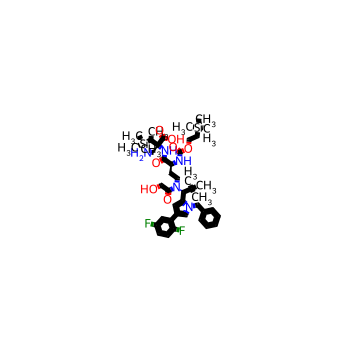 CC([C@@](CN)(NC(=O)[C@H](CCN(C(=O)CO)[C@@H](c1cc(-c2cc(F)ccc2F)cn1Cc1ccccc1)C(C)(C)C)NC(=O)OCC[Si](C)(C)C)C(=O)O)[Si](C)(C)C